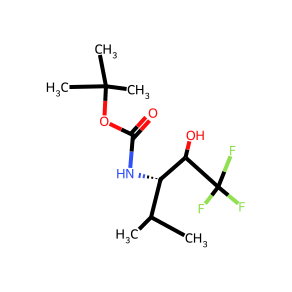 CC(C)[C@H](NC(=O)OC(C)(C)C)C(O)C(F)(F)F